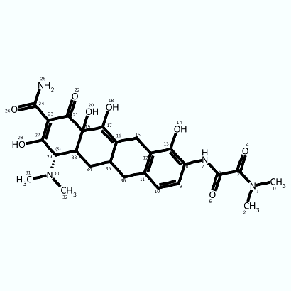 CN(C)C(=O)C(=O)Nc1ccc2c(c1O)CC1=C(O)C3(O)C(=O)C(C(N)=O)=C(O)[C@@H](N(C)C)C3CC1C2